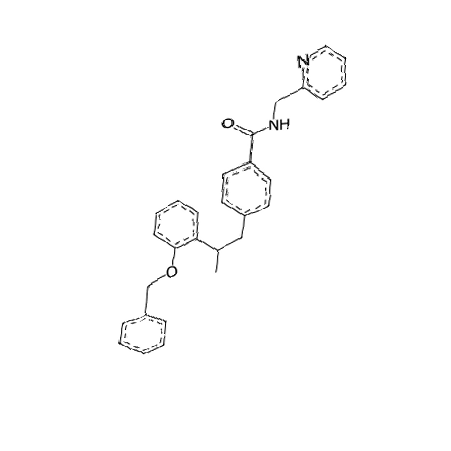 CC(Cc1ccc(C(=O)NCc2ccccn2)cc1)c1ccccc1OCc1ccccc1